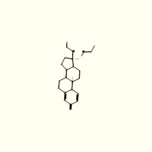 CCC(=O)O[C@]1(C(=O)CO)[C@@H](C)CC2C3CCC4=CC(=O)C=C[C@]4(C)[C@@]3(F)[C@@H](O)C[C@@]21C